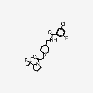 O=C(NCC1CCN(CC(=O)N2CCCC2C(F)(F)F)CC1)c1cc(F)cc(Cl)c1